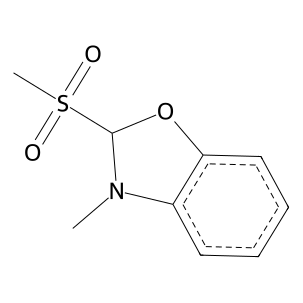 CN1c2ccccc2OC1S(C)(=O)=O